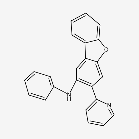 c1ccc(Nc2cc3c(cc2-c2ccccn2)oc2ccccc23)cc1